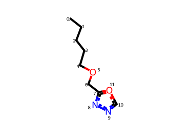 [CH2]CCCCOCc1nnco1